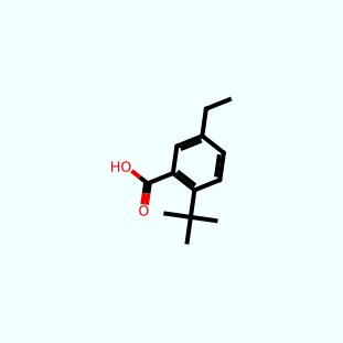 CCc1ccc(C(C)(C)C)c(C(=O)O)c1